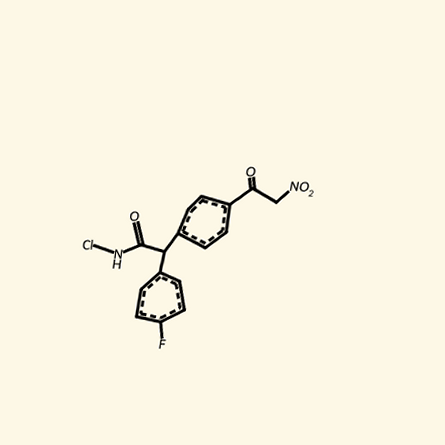 O=C(C[N+](=O)[O-])c1ccc(C(C(=O)NCl)c2ccc(F)cc2)cc1